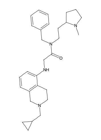 CN1CCCC1CCN(Cc1ccccc1)C(=O)CNc1cccc2c1CCN(CC1CC1)C2